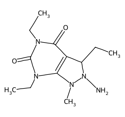 CCC1c2c(n(CC)c(=O)n(CC)c2=O)N(C)N1N